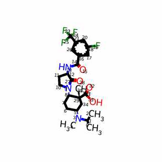 CC(C)N(C)[C@@H]1CC[C@H](N2CCC(NC(=O)c3cc(F)cc(C(F)(F)F)c3)C2=O)[C@](C)(C(=O)O)C1